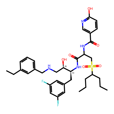 CCCC(CCC)S(=O)(=O)CC(NC(=O)c1ccc(O)nc1)C(=O)N[C@@H](Cc1cc(F)cc(F)c1)[C@H](O)CNCc1cccc(CC)c1